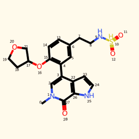 Cn1cc(-c2cc(CCN[SH](=O)=O)ccc2OC2CCOC2)c2cc[nH]c2c1=O